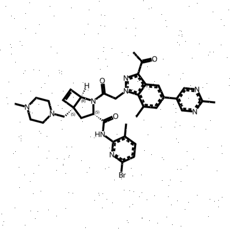 CC(=O)c1nn(CC(=O)N2[C@H](C(=O)Nc3nc(Br)ccc3C)C[C@@]3(CN4CCN(C)CC4)C=C[C@@H]23)c2c(C)cc(-c3cnc(C)nc3)cc12